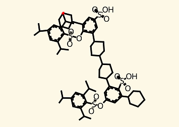 CC(C)c1cc(C(C)C)c(S(=O)(=O)Oc2cc(C3CCCCC3)c(S(=O)(=O)O)c(C3CCC(C4CCC(c5cc(S(=O)(=O)O)cc(C6CCCCC6)c5OS(=O)(=O)c5c(C(C)C)cc(C(C)C)cc5C(C)C)CC4)CC3)c2)c(C(C)C)c1